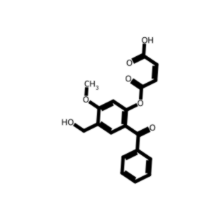 COc1cc(OC(=O)/C=C\C(=O)O)c(C(=O)c2ccccc2)cc1CO